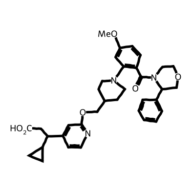 COc1ccc(C(=O)N2CCOCC2c2ccccc2)c(N2CCC(COc3cc(C(CC(=O)O)C4CC4)ccn3)CC2)c1